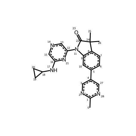 Cc1ncc(-c2ccc3c(c2)N(c2cncc(NC4CC4)n2)C(=O)C3(C)C)cn1